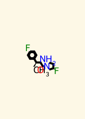 CC[C@@H](c1ccc(F)cc1)[C@H](N)C(=O)N1CC[C@H](F)C1